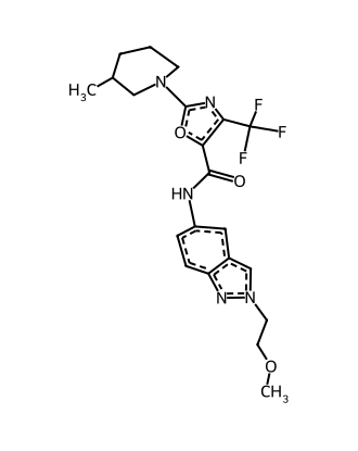 COCCn1cc2cc(NC(=O)c3oc(N4CCCC(C)C4)nc3C(F)(F)F)ccc2n1